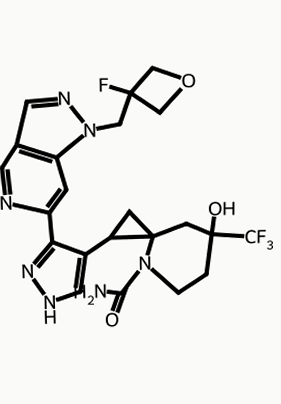 NC(=O)N1CCC(O)(C(F)(F)F)CC12CC2c1c[nH]nc1-c1cc2c(cn1)cnn2CC1(F)COC1